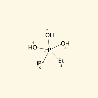 [CH2]C(C)P(O)(O)(O)CC